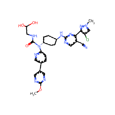 COc1ncc(-c2ccc(N(C(=O)NCC(O)O)[C@H]3CC[C@H](Nc4ncc(C#N)c(-c5nn(C)cc5Cl)n4)CC3)nc2)cn1